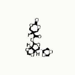 O=C1OCC(F)(C(=O)OC2O[C@H](C3COCO3)[C@@H]3OCO[C@H]23)CO1